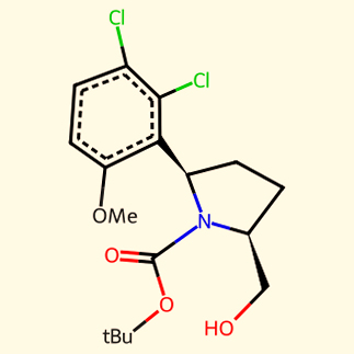 COc1ccc(Cl)c(Cl)c1[C@H]1CC[C@@H](CO)N1C(=O)OC(C)(C)C